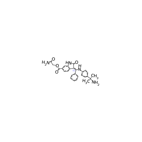 CC(C)(N)c1ccc(N/C(=C2\C(=O)Nc3cc(C(=O)OCC(N)=O)ccc32)c2ccccc2)cc1